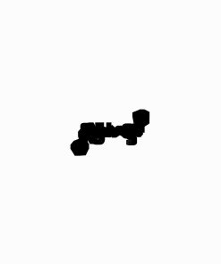 CC(C)(Cc1ccccc1)C(=S)OCCCCCCC(=O)Nc1nc(-c2ccccc2)cs1